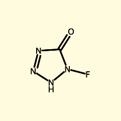 O=c1nn[nH]n1F